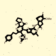 COc1c(F)ccc2c1CC(F)(F)[C@H]2Nc1nc(C)cc2cc(-c3c4c(nc(CCc5ccc(F)cc5)c3-c3n[nH]c(=O)o3)[C@@H]3CCCN3C4=O)sc12